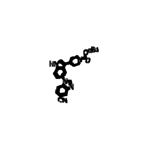 CCCCOC(=O)N1CCC(c2c[nH]c3ccc(-n4cnc5cc(C#N)ccc54)cc23)CC1